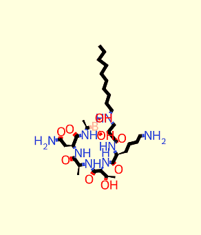 CCCCCCCCCCNCCC(=O)N[C@@H](CCCCN)C(=O)N[C@H](C(=O)N[C@@H](C)C(=O)N[C@@H](CC(N)=O)C(=O)N[C@@H](C)B(O)O)[C@@H](C)O